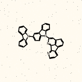 c1cnc2c(c1)-c1cccc3cc(-n4c5ccccc5c5cc(-n6c7ccccc7c7ccccc76)ccc54)nc-2c13